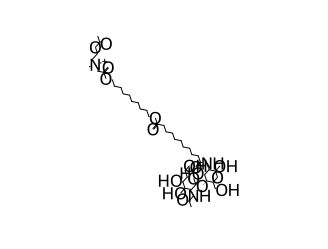 CC(=O)N[C@@H]1C(O)[C@@H](O)C(CO)O[C@@H]1O[C@H]1C(CO)O[C@H](O)[C@H](NC(=O)CCCCCCCCCC(=O)OCCCCCCCCCCOC(=O)C[N+](C)(C)CCOC(C)=O)C1O